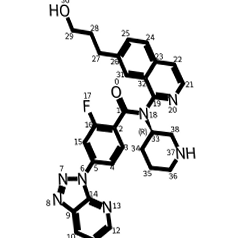 O=C(c1ccc(-n2nnc3cccnc32)cc1F)N(c1nccc2ccc(CCCO)cc12)[C@@H]1CCCNC1